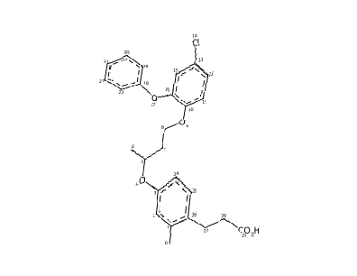 Cc1cc(OC(C)CCOc2ccc(Cl)cc2Oc2ccccc2)ccc1CCC(=O)O